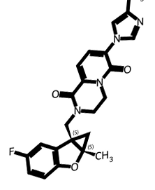 Cc1cn(-c2ccc3n(c2=O)CCN(C[C@@]24C[C@]2(C)Oc2ccc(F)cc24)C3=O)cn1